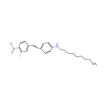 CCCCCCCCCNc1ccc(C=Cc2ccc([N+](=O)[O-])c(F)c2)cc1